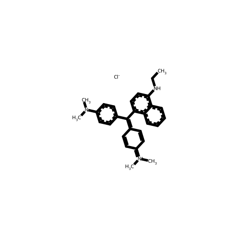 CCNc1ccc(C(=C2C=CC(=[N+](C)C)C=C2)c2ccc(N(C)C)cc2)c2ccccc12.[Cl-]